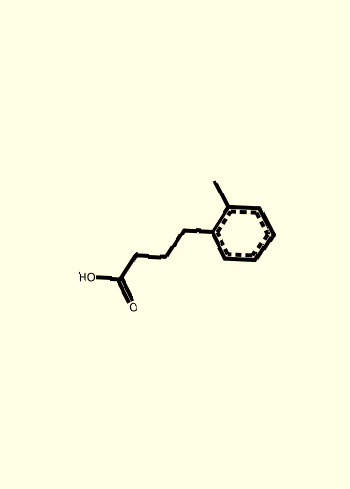 Cc1ccccc1CCCC(=O)O